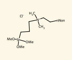 CCCCCCCCCCC[N+](C)(C)CCC[Si](OC)(OC)OC.[Cl-]